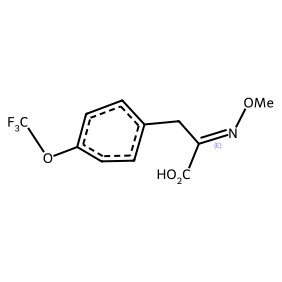 CO/N=C(\Cc1ccc(OC(F)(F)F)cc1)C(=O)O